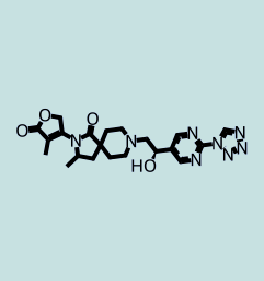 CC1=C(N2C(=O)C3(CCN(C[C@H](O)c4cnc(-n5cnnn5)nc4)CC3)CC2C)COC1=O